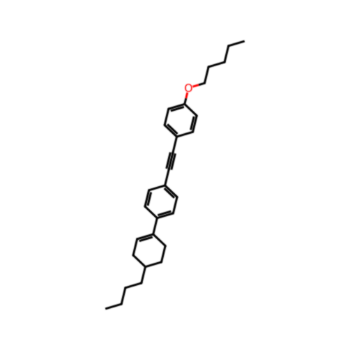 CCCCCOc1ccc(C#Cc2ccc(C3=CCC(CCCC)CC3)cc2)cc1